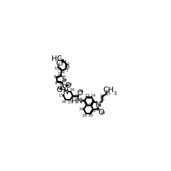 C#C/C=C\C(=C/C)c1ccc(S(=O)(=O)N2CCCC(C(=O)Nc3ccc4c5c3CCC=C5C(=O)N4CCCC)C2)s1